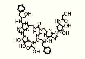 O=C(CO)N[C@H]1C[C@@H](n2cnc3c(N[C@H](CO)Cc4ccccc4)nc(CNC(=O)NCc4nc(N[C@H](CO)Cc5ccccc5)c5ncn([C@@H]6C[C@H](NC(=O)CO)[C@@H](O)[C@H]6O)c5n4)nc32)[C@H](O)[C@@H]1O